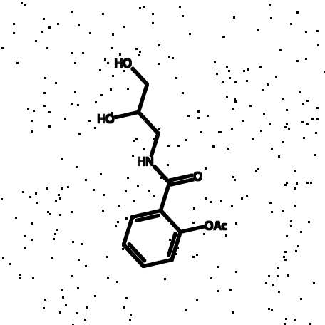 CC(=O)Oc1ccccc1C(=O)NCC(O)CO